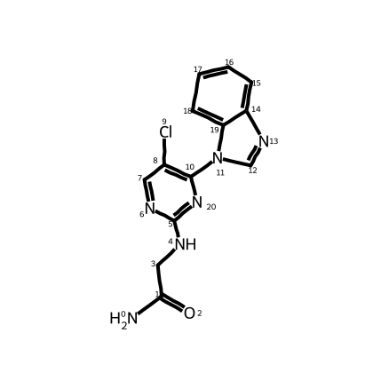 NC(=O)CNc1ncc(Cl)c(-n2cnc3ccccc32)n1